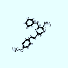 COc1ccc(/C=C/c2cnc(N)c(Cc3ccccc3)n2)cc1